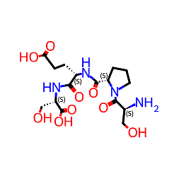 N[C@@H](CO)C(=O)N1CCC[C@H]1C(=O)N[C@@H](CCC(=O)O)C(=O)N[C@@H](CO)C(=O)O